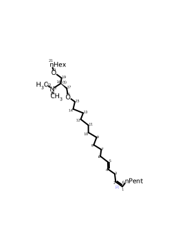 CCCCC/C=C\CC=CCCCCCCCCCCOC[C@H](COCCCCCC)N(C)C